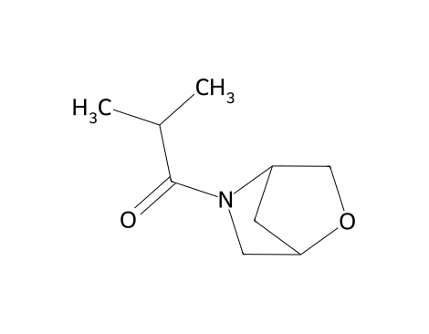 CC(C)C(=O)N1CC2CC1CO2